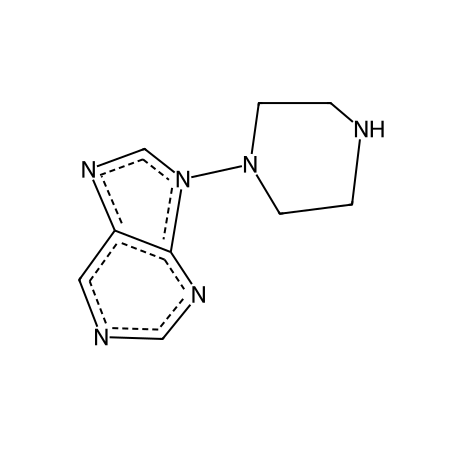 c1ncc2ncn(N3CCNCC3)c2n1